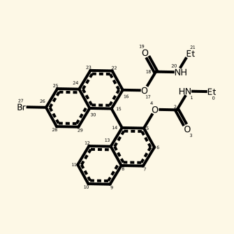 [CH2]CNC(=O)Oc1ccc2ccccc2c1-c1c(OC(=O)NC[CH2])ccc2cc(Br)ccc12